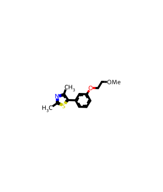 COCCOc1cccc(-c2sc(C)nc2C)c1